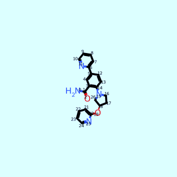 NC(=O)c1cc(-c2ccccn2)ccc1N1CC[C@@H](Oc2ccccn2)C1